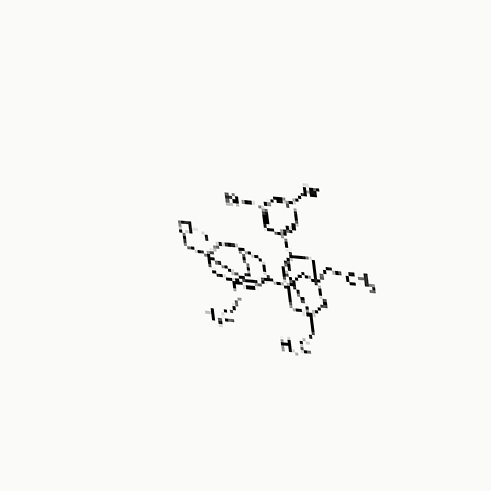 CCC12CC3CC(CC)(C1)CC(C14CC5(CC)CC(CC)(CC(c6cc(Br)cc(Br)c6)(C5)C1)C4)(C3)C2